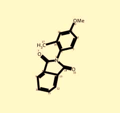 COc1ccc(N2C(=O)c3ccccc3C2=O)c(C)c1